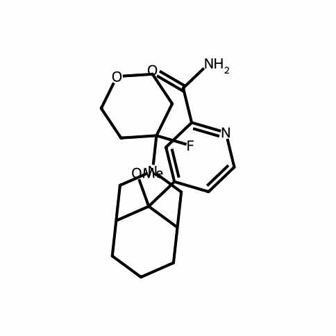 COC1(c2ccnc(C(N)=O)c2)C2CCCC1CN(C1(F)CCOCC1)C2